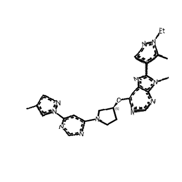 CCn1ncc(-c2nc3c(O[C@H]4CCN(c5cc(-n6cc(C)cn6)ncn5)C4)ncnc3n2C)c1C